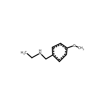 C[CH]NCc1ccc(OC)cc1